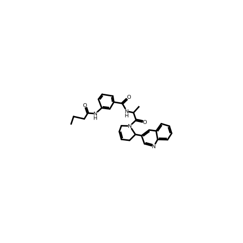 CCCC(=O)Nc1cccc(C(=O)NC(C)C(=O)N2CC=CCC2c2cnc3ccccc3c2)c1